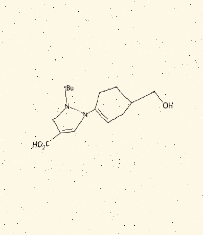 CC(C)(C)N1CC(C(=O)O)=CN1C1=CCC(CO)CC1